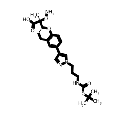 CC(C)(C)OC(=O)NCCCn1cc(-c2ccc3c(c2)CC[C@H]([C@](C)(ON)C(=O)O)O3)cn1